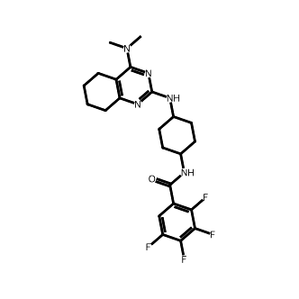 CN(C)c1nc(NC2CCC(NC(=O)c3cc(F)c(F)c(F)c3F)CC2)nc2c1CCCC2